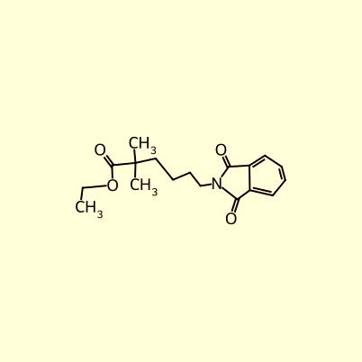 CCOC(=O)C(C)(C)CCCCN1C(=O)c2ccccc2C1=O